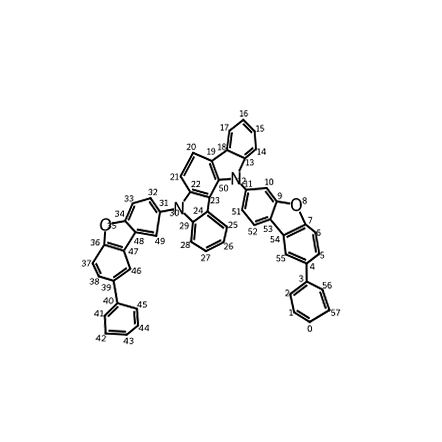 c1ccc(-c2ccc3oc4cc(-n5c6ccccc6c6ccc7c(c8ccccc8n7-c7ccc8oc9ccc(-c%10ccccc%10)cc9c8c7)c65)ccc4c3c2)cc1